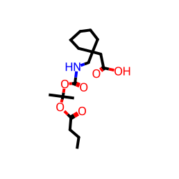 CCCC(=O)OC(C)(C)OC(=O)NCC1(CC(=O)O)CCCCC1